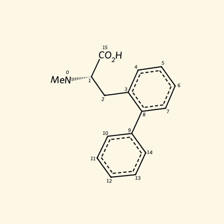 CN[C@@H](Cc1ccccc1-c1ccccc1)C(=O)O